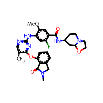 COc1cc(C(=O)NC2CCN3CCOC3C2)c(F)cc1Nc1ncc(C(F)(F)F)c(Oc2cccc3c2C(=O)N(C)C3)n1